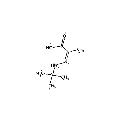 CC(=NNC(C)(C)C)C(=O)O